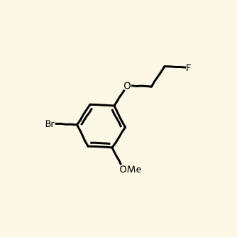 COc1cc(Br)cc(OCCF)c1